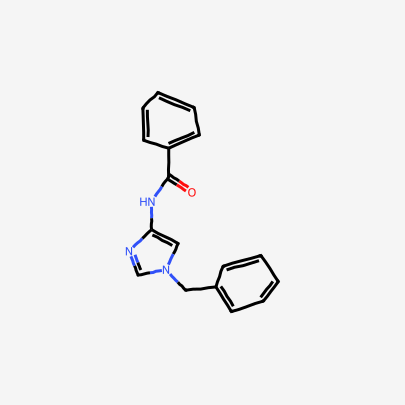 O=C(Nc1cn(Cc2ccccc2)cn1)c1ccccc1